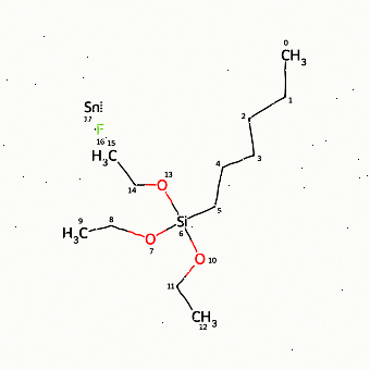 CCCCCC[Si](OCC)(OCC)OCC.[F].[Sn]